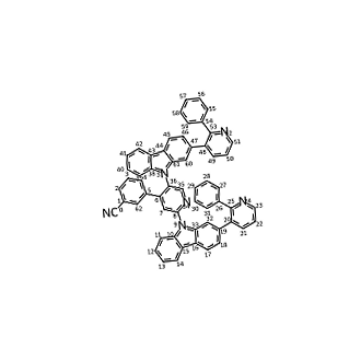 N#Cc1cccc(-c2cc(-n3c4ccccc4c4ccc(-c5cccnc5-c5ccccc5)cc43)ncc2-n2c3ccccc3c3ccc(-c4cccnc4-c4ccccc4)cc32)c1